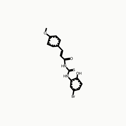 COc1ccc(/C=C/C(=O)NC(=S)Nc2cc(Br)ccc2O)cc1